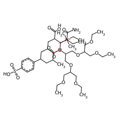 CCOCC(COCC)OCC(COC(COCC)COCC)OC(=O)C(CC(CC(CC)C(N)=O)C(=O)O)CC(CC(C)C(=O)OC[N+](C)(C)CC)c1ccc(S(=O)(=O)O)cc1